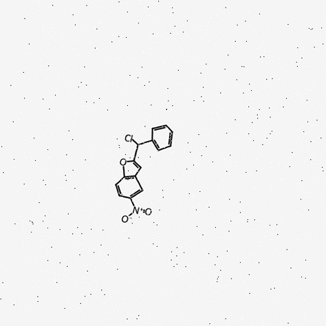 O=[N+]([O-])c1ccc2oc(C(Cl)c3ccccc3)cc2c1